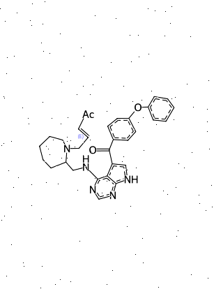 CC(=O)/C=C/CN1CCCCCC1CNc1ncnc2[nH]cc(C(=O)c3ccc(Oc4ccccc4)cc3)c12